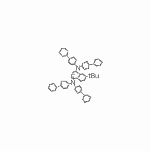 CC(C)(C)c1ccc2c(N(c3ccc(-c4ccccc4)cc3)c3ccc(-c4ccccc4)cc3)ccc(N(c3ccc(-c4ccccc4)cc3)c3ccc(-c4ccccc4)cc3)c2c1